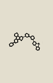 CC1(C)c2ccccc2-c2ccc(-c3ccc4oc5ccc(-c6ccc7c(c6)c6ccccc6c6cc8c(cc76)oc6ccccc68)cc5c4c3)cc21